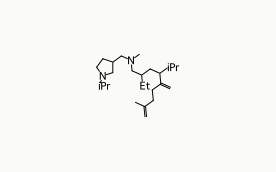 C=C(C)CCC(=C)C(CC(CC)CN(C)CC1CCN(C(C)C)C1)C(C)C